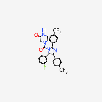 O=C1CN(C(=O)N2C(c3ccc(C(F)(F)F)cc3)=NC(c3ccc(C(F)(F)F)cc3)C2c2cccc(F)c2)CCN1